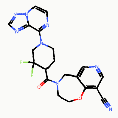 N#Cc1cncc2c1OCCN(C(=O)C1CCN(c3nccn4ncnc34)CC1(F)F)C2